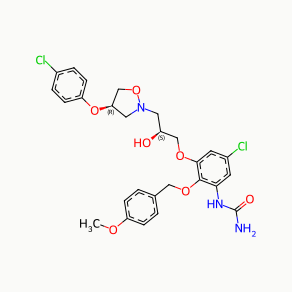 COc1ccc(COc2c(NC(N)=O)cc(Cl)cc2OC[C@@H](O)CN2C[C@@H](Oc3ccc(Cl)cc3)CO2)cc1